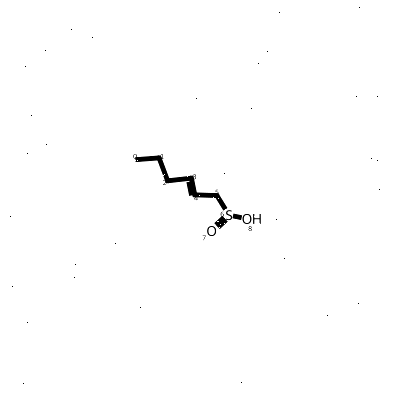 CCCC=CCS(=O)O